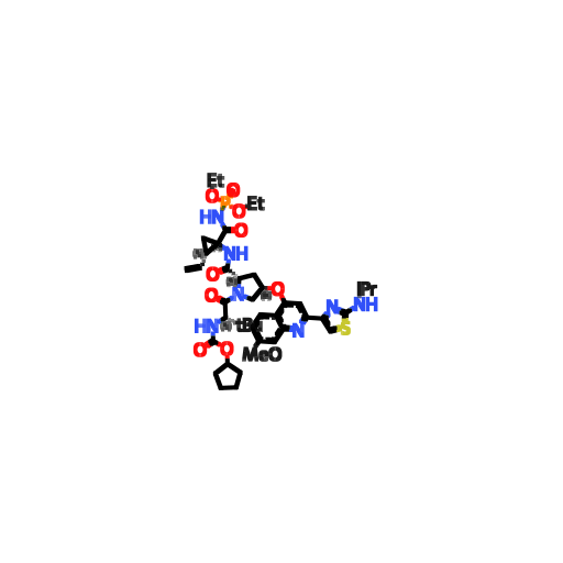 C=C[C@@H]1C[C@]1(NC(=O)[C@@H]1C[C@@H](Oc2cc(-c3csc(NC(C)C)n3)nc3cc(OC)ccc23)CN1C(=O)[C@@H](NC(=O)OC1CCCC1)C(C)(C)C)C(=O)NP(=O)(OCC)OCC